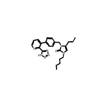 CCCCCn1cc(CCC)n(Cc2ccc(-c3cccnc3-c3nnn[nH]3)cc2)c1=O